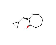 O=C1CCCCC/C1=C/C1CC1